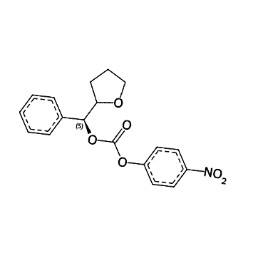 O=C(Oc1ccc([N+](=O)[O-])cc1)O[C@@H](c1ccccc1)C1CCCO1